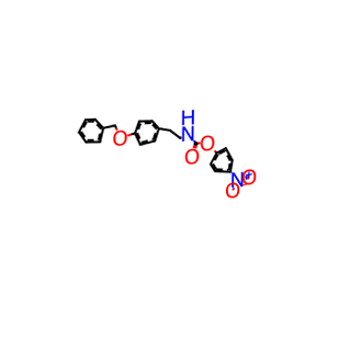 O=C(NCCc1ccc(OCc2ccccc2)cc1)Oc1ccc([N+](=O)[O-])cc1